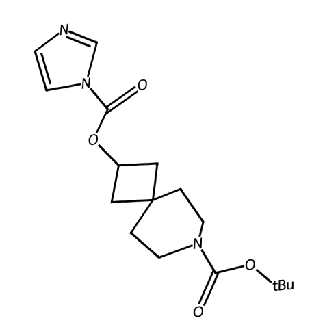 CC(C)(C)OC(=O)N1CCC2(CC1)CC(OC(=O)n1ccnc1)C2